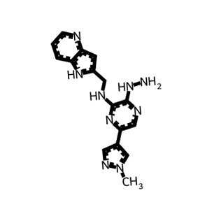 Cn1cc(-c2cnc(NN)c(NCc3cc4ncccc4[nH]3)n2)cn1